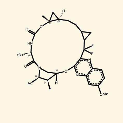 COc1ccc2nc3c(nc2c1)O[C@H]1CN(C(=O)[C@H](C(C)(C)C)NC(=O)O[C@]2(C)C[C@H]2CCC2CC2C3(F)F)[C@H](C(C)=O)[C@@H]1C